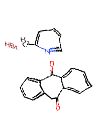 Br.Cc1ccccn1.O=C1c2ccccc2C(=O)c2ccccc21